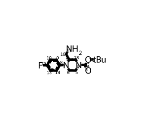 CC(C)(C)OC(=O)N1CCN(c2ccc(F)cc2)C(CN)C1